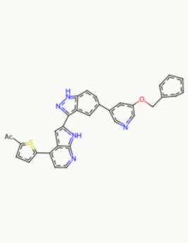 CC(=O)c1ccc(-c2ccnc3[nH]c(-c4n[nH]c5ccc(-c6cncc(OCc7ccccc7)c6)cc45)cc23)s1